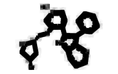 Br[C@@H]1CN[C@H](COc2cnccc2-c2[nH]c3cccnc3c2-c2ccccc2)C1.Cl